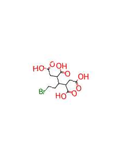 O=C(O)CC(C(=O)O)C(CCBr)C(CC(=O)O)C(=O)O